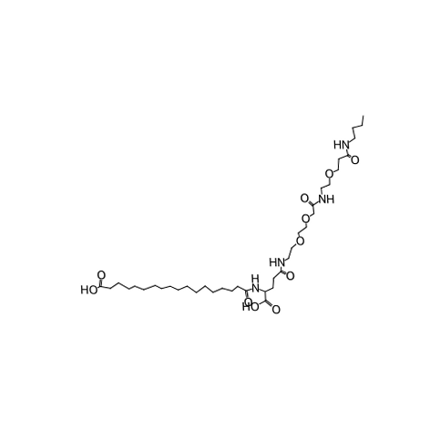 CCCCNC(=O)CCOCCNC(=O)COCCOCCNC(=O)CCC(NC(=O)CCCCCCCCCCCCCCCCC(=O)O)C(=O)O